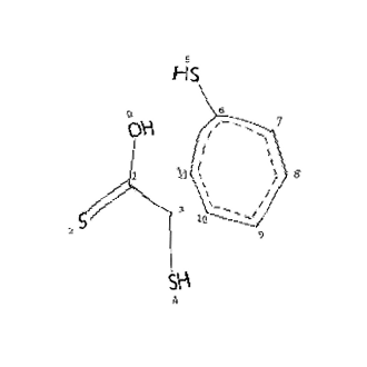 OC(=S)CS.Sc1ccccc1